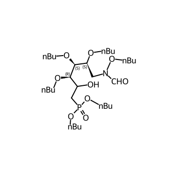 CCCCO[C@@H]([C@H](CN(C=O)OCCCC)OCCCC)[C@H](OCCCC)C(O)CP(=O)(OCCCC)OCCCC